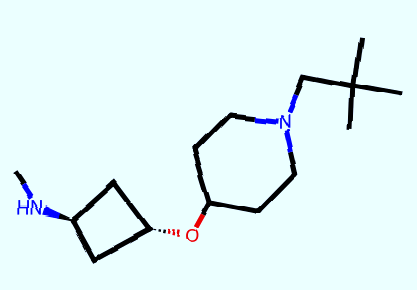 CN[C@H]1C[C@H](OC2CCN(CC(C)(C)C)CC2)C1